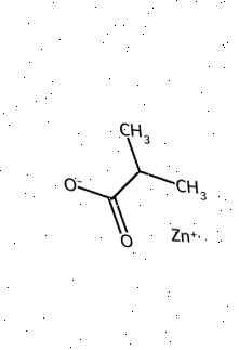 CC(C)C(=O)[O-].[Zn+]